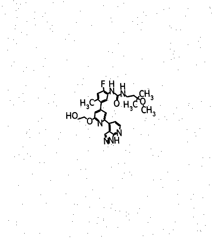 COC(C)(C)CCNC(=O)Nc1cc(-c2cc(OCCO)nc(-c3ccnc4[nH]ncc34)c2)c(C)cc1F